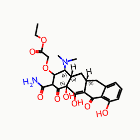 CCOC(=O)COC1C(C(N)=O)C(=O)[C@@]2(O)C(O)=C3C(=O)c4c(O)cccc4C[C@H]3C[C@H]2[C@@H]1N(C)C